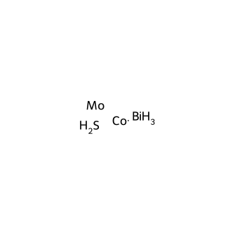 S.[BiH3].[Co].[Mo]